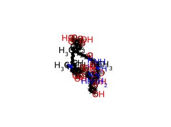 CCN1/C(=C/C=C/C=C/C2=C(CCCCCC(=O)NCC(=O)NC(C)C(=O)NCC(=O)N3C[C@@H](O)CC3C(=O)N3CCCC3C(=O)NC(Cc3ccc(O)cc3)C(N)=O)c3ccc4c(S(=O)(=O)O)cc(S(=O)(=O)O)cc4c3C2(C)C)C(C)(C)c2c1ccc1c(S(=O)(=O)O)cc(S(=O)(=O)O)cc21